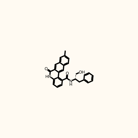 Cc1ccc2cc3c(cc2c1)c(=O)[nH]c1cccc(C(=O)N[C@H](CO)Cc2ccccc2)c13